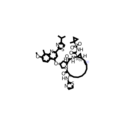 COc1ccc2c(O[C@@H]3C[C@H]4C(=O)N[C@]5(C(=O)NS(=O)(=O)C6(C)CC6)C[C@H]5/C=C\CCCCC[C@H](Nc5nccs5)C(=O)N4C3)cc(-c3nc(C(C)C)cs3)nc2c1C